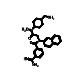 CN(C(=O)CN(C(=O)c1cccc(C(=N)N)c1)c1ccc2ccccc2c1)C1CCC(CN)CC1